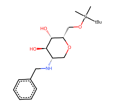 CC(C)(C)[Si](C)(C)OC[C@@H]1OC[C@H](NCc2ccccc2)[C@@H](O)[C@@H]1O